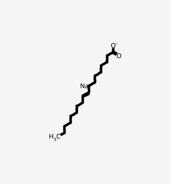 CCCCCCCC/C=C/CCCCCCCC(=O)[O-].[Na+]